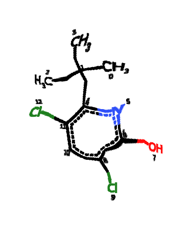 CC(C)(C)c1nc(O)c(Cl)cc1Cl